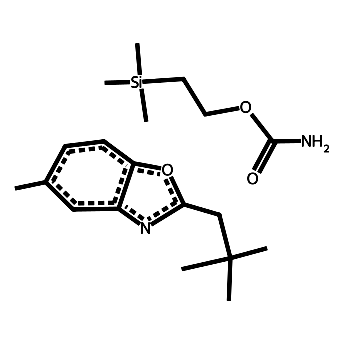 C[Si](C)(C)CCOC(N)=O.Cc1ccc2oc(CC(C)(C)C)nc2c1